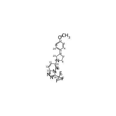 COc1ccc(C2CCN(c3ccc4nnc(C(F)(F)F)n4n3)C2)cc1